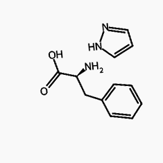 N[C@@H](Cc1ccccc1)C(=O)O.c1cn[nH]c1